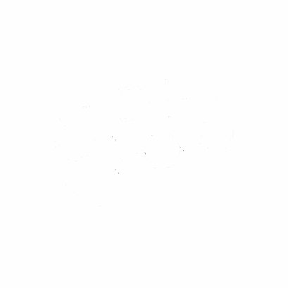 CC(=O)CC1c2cccc(F)c2N=C(N2CCN3c4cccc(F)c4CC3C2)N1c1cc(C(F)(F)F)ccc1O